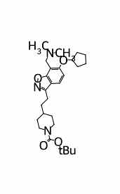 CN(C)Cc1c(OC2CCCC2)ccc2c(CCC3CCN(C(=O)OC(C)(C)C)CC3)noc12